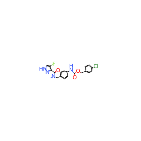 CN(Cc1ccc(NC(=O)OCc2ccc(Cl)cc2)cc1)C(=O)c1n[nH]cc1F